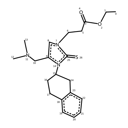 CCOC(=O)CCn1cc(CN(C)C)n(C2CCc3ccccc3C2)c1=S